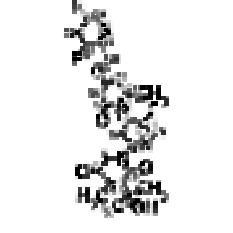 Cc1cnc(-n2cc(Cl)c(C)c(C(C)(C)O)c2=O)cc1-n1c(C)cc(OCc2ncc(F)cc2F)cc1=O